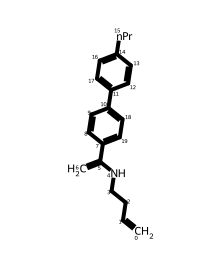 C=CCCNC(=C)c1ccc(-c2ccc(CCC)cc2)cc1